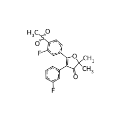 CC1(C)OC(c2ccc(S(C)(=O)=O)c(F)c2)=C(c2cccc(F)c2)C1=O